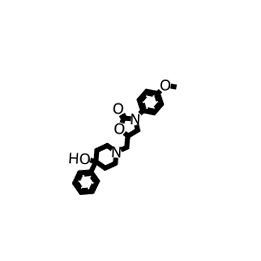 COc1ccc(N2CC(CN3CCC(O)(c4ccccc4)CC3)OC2=O)cc1